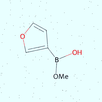 COB(O)c1ccoc1